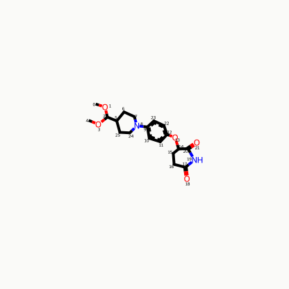 COC(OC)C1CCN(c2ccc(OC3CCC(=O)NC3=O)cc2)CC1